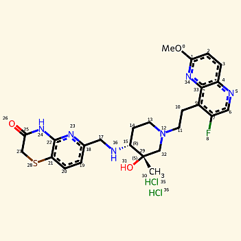 COc1ccc2ncc(F)c(CCN3CC[C@@H](NCc4ccc5c(n4)NC(=O)CS5)[C@@](C)(O)C3)c2n1.Cl.Cl